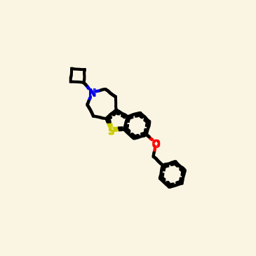 c1ccc(COc2ccc3c4c(sc3c2)CCN(C2CCC2)CC4)cc1